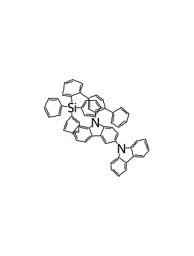 c1ccc(-c2ccc(-c3ccccc3[Si](c3ccccc3)(c3ccccc3)c3ccccc3)cc2-n2c3ccccc3c3cc(-n4c5ccccc5c5ccccc54)ccc32)cc1